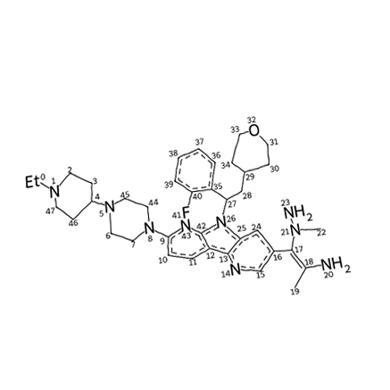 CCN1CCC(N2CCN(c3ccc4c5ncc(/C(=C(\C)N)N(C)N)cc5n(C(CC5CCOCC5)c5ccccc5F)c4n3)CC2)CC1